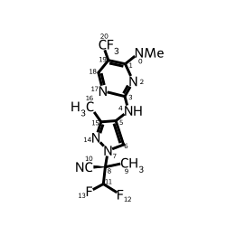 CNc1nc(Nc2cn([C@@](C)(C#N)C(F)F)nc2C)ncc1C(F)(F)F